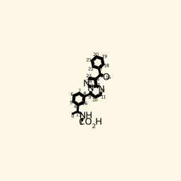 CC(NC(=O)O)c1cccc(-c2ccnc3c(C(=O)c4ccccc4)cnn23)c1